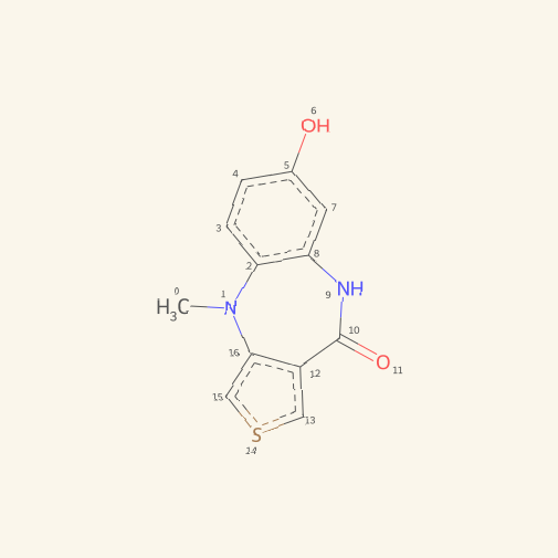 CN1c2ccc(O)cc2NC(=O)c2cscc21